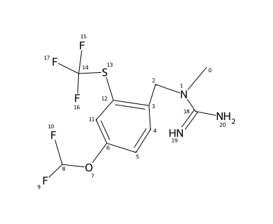 CN(Cc1ccc(OC(F)F)cc1SC(F)(F)F)C(=N)N